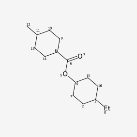 CCC1CCC(OC(=O)C2CCC(C)CC2)CC1